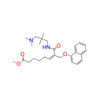 COC(=O)CCCCC=C(COc1cccc2ccccc12)C(=O)NCC(C)(C)CN(C)C